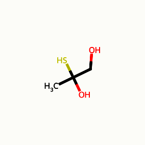 CC(O)(S)CO